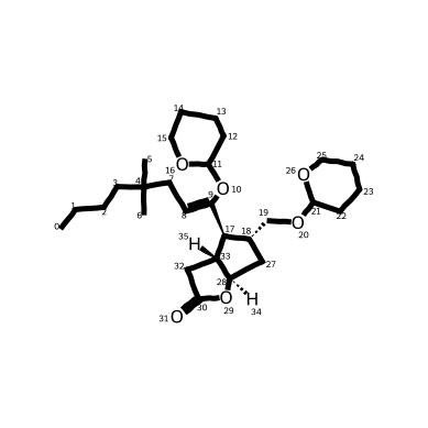 CCCCC(C)(C)CC=C(OC1CCCCO1)[C@H]1[C@H](COC2CCCCO2)C[C@H]2OC(=O)C[C@H]12